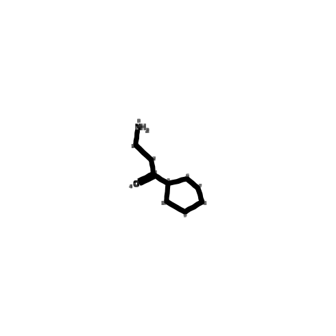 NCCC(=O)C1CCCCC1